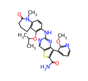 COc1ncccc1-c1c(C(N)=O)sc2cnc(Nc3ccc4c(c3OC(C)C)CCCC(=O)N4C)nc12